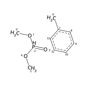 CO[PH](=O)OC.Cc1ccccc1